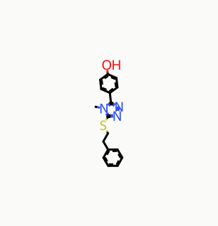 Cn1c(SCCc2ccccc2)nnc1-c1ccc(O)cc1